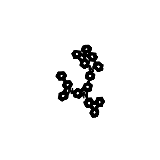 c1ccc(-c2ccc3c(c2)c2ccccc2n3-c2ccc3c(c2)c2cc(-c4ccc(N(c5ccccc5)c5ccc6c(c5)C(c5ccccc5)(c5ccccc5)c5ccccc5-6)cc4)ccc2n3-c2ccc3c4ccccc4c4ccccc4c3c2)cc1